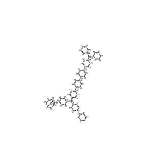 c1ccc(-c2ccc(N(c3ccc(-c4ccc(-c5ccc(-c6ccc(N(c7ccccc7)c7ccccc7)cc6)cc5)cc4)cc3)c3ccc(C45CC6CC(CC4C6)C5)cc3)cc2)cc1